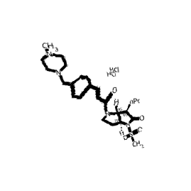 CCC[C@H]1C(=O)N(S(C)(=O)=O)[C@H]2CCN(C(=O)C=Cc3ccc(CN4CCN(C)CC4)cc3)[C@H]12.Cl.Cl